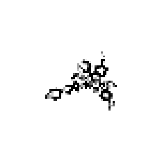 CCOc1ncccc1[C@]1(NC(=O)N2CC3(C2)CN(C2CCN(C)CC2)C3)C(=O)N(S(=O)(=O)c2ccc(OC)cc2OC)c2ccc(C#N)cc21